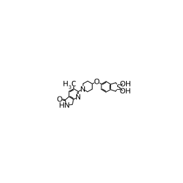 Cc1cc2c(nc1N1CCC(Oc3ccc4c(c3)CS(O)(O)C4)CC1)CNC2=O